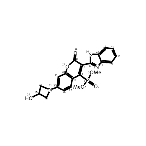 COP(=O)(OC)c1c(-c2nc3ccccc3s2)c(=O)oc2cc(N3CC(O)C3)ccc12